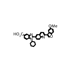 COc1ccc2occ(-c3ccc4cc(-c5nc6cc(C(=O)O)ccc6n5C5CCCCC5)ccc4n3)c2c1